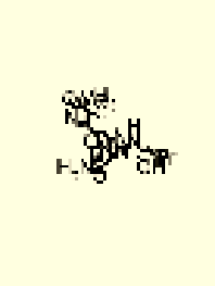 COc1cc(C)c([C@H](C)Cc2nc(CS(N)(=O)=O)nc(N[C@@H](CO)CC(C)C)n2)cn1